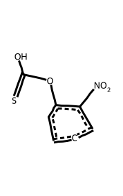 O=[N+]([O-])c1ccccc1OC(O)=S